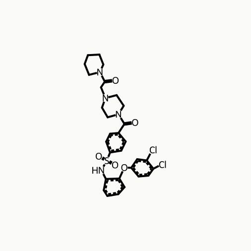 O=C(CN1CCN(C(=O)c2ccc(S(=O)(=O)Nc3ccccc3Oc3ccc(Cl)c(Cl)c3)cc2)CC1)N1CCCCC1